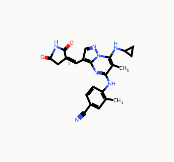 Cc1cc(C#N)ccc1Nc1nc2c(/C=C3/CC(=O)NC3=O)cnn2c(NC2CC2)c1C